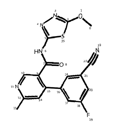 COc1nnc(NC(=O)c2cnc(C)cc2-c2cc(F)cc(C#N)c2)s1